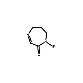 CC(C)N1CCCN=CC1=O